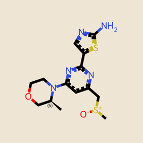 C[C@H]1COCCN1c1cc(C[S+](C)[O-])nc(-c2cnc(N)s2)n1